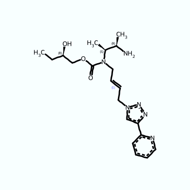 CC[C@@H](O)COC(=O)N(C/C=C/Cn1cc(-c2ccccn2)nn1)[C@@H](C)[C@@H](C)N